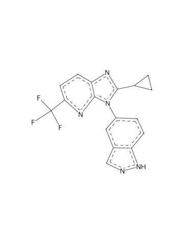 FC(F)(F)c1ccc2nc(C3CC3)n(-c3ccc4[nH]ncc4c3)c2n1